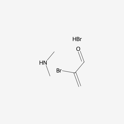 Br.C=C(Br)C=O.CNC